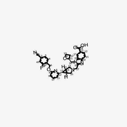 N#Cc1ccc(COc2cccc([C@H]3[C@@H]4CN(Cc5nc6ccc(C(=O)O)cc6n5C[C@@H]5CCO5)C[C@@H]43)n2)c(F)c1